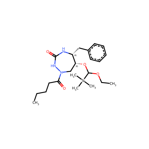 CCCCC(=O)N1C[C@@H](OC(OCC)[Si](C)(C)C)[C@@H](Cc2ccccc2)NC(=O)N1